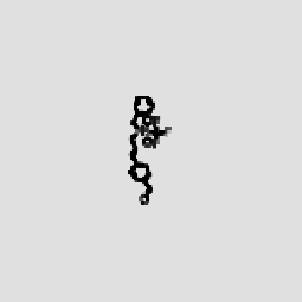 O=Cc1ccc(C=CCN(Cc2ccccc2)S(=O)(=O)C(F)(F)F)cc1